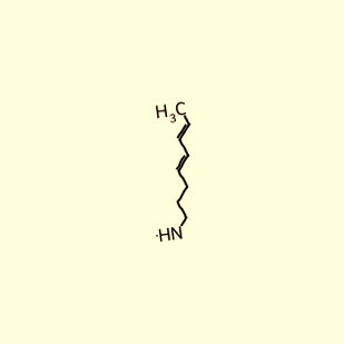 CC=CC=CCCC[NH]